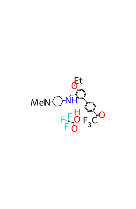 CCOc1ccc(-c2ccc(C(=O)C(F)(F)F)cc2)cc1CNC1CCC(NC)CC1.O=C(O)C(F)(F)F